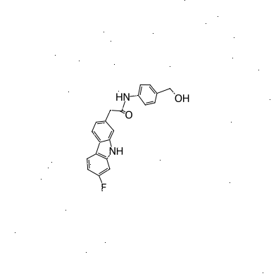 O=C(Cc1ccc2c(c1)[nH]c1cc(F)ccc12)Nc1ccc(CO)cc1